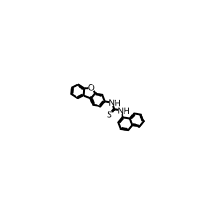 S=C(Nc1ccc2c(c1)oc1ccccc12)Nc1cccc2ccccc12